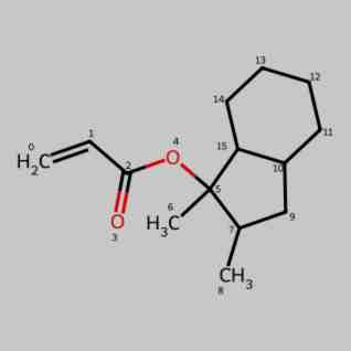 C=CC(=O)OC1(C)C(C)CC2CCCCC21